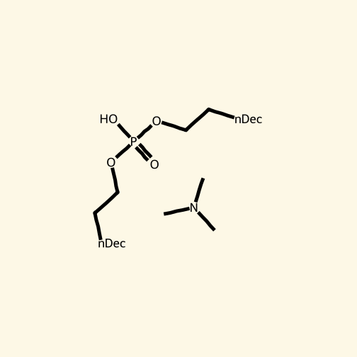 CCCCCCCCCCCCOP(=O)(O)OCCCCCCCCCCCC.CN(C)C